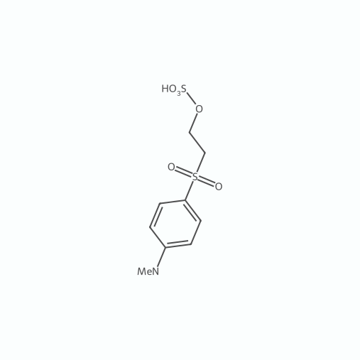 CNc1ccc(S(=O)(=O)CCOS(=O)(=O)O)cc1